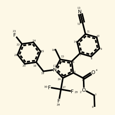 CCOC(=O)c1c(-c2cccc(C#N)c2)c(C)n(Cc2ccc(F)cc2)c1C(F)(F)F